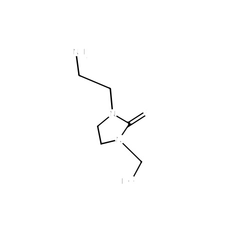 NCCN1CCN(CO)C1=O